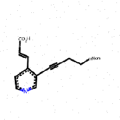 CCCCCCCCCCCC#Cc1cnccc1C=CC(=O)O